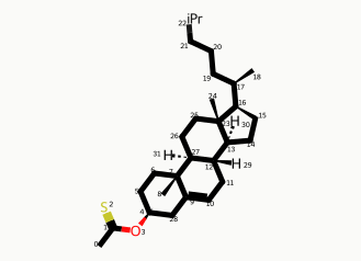 CC(=S)O[C@H]1CC[C@@]2(C)C(=CC[C@H]3[C@@H]4CC[C@H]([C@H](C)CCCC(C)C)[C@@]4(C)CC[C@@H]32)C1